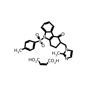 Cc1ccc(S(=O)(=O)n2c3c(c4ccccc42)C(=O)C(Cn2ccnc2C)CC3)cc1.O=C(O)/C=C\C(=O)O